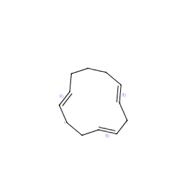 [CH]1/C=C/CCC/C=C/C/C=C/C1